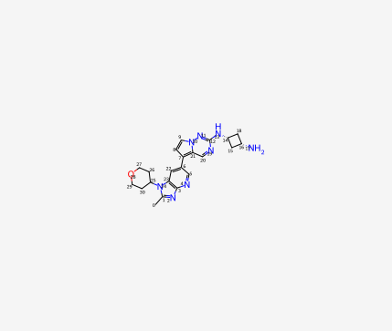 Cc1nc2ncc(-c3ccn4nc(N[C@H]5C[C@@H](N)C5)ncc34)cc2n1C1CCOCC1